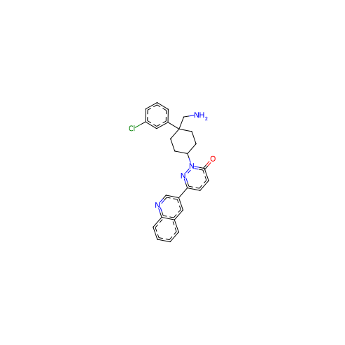 NCC1(c2cccc(Cl)c2)CCC(n2nc(-c3cnc4ccccc4c3)ccc2=O)CC1